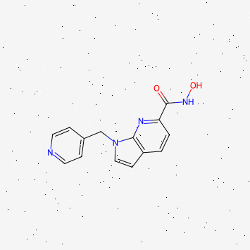 O=C(NO)c1ccc2ccn(Cc3ccncc3)c2n1